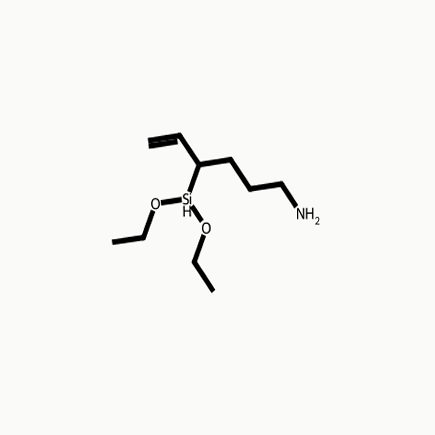 C=CC(CCCN)[SiH](OCC)OCC